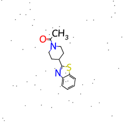 CC(=O)N1CCC(c2nc3ccccc3s2)CC1